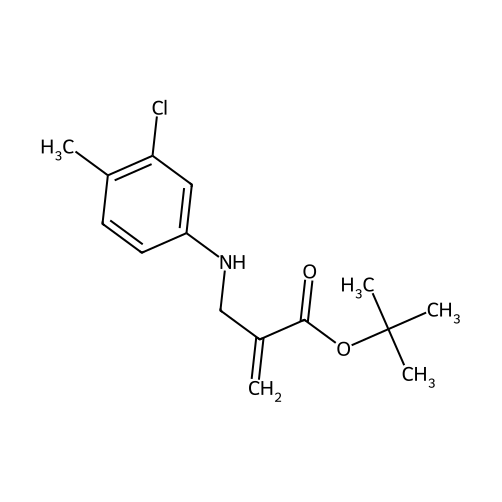 C=C(CNc1ccc(C)c(Cl)c1)C(=O)OC(C)(C)C